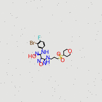 O=S(=O)(CCCNc1nonc1C(=NO)Nc1ccc(F)c(Br)c1)C1CCOCC1